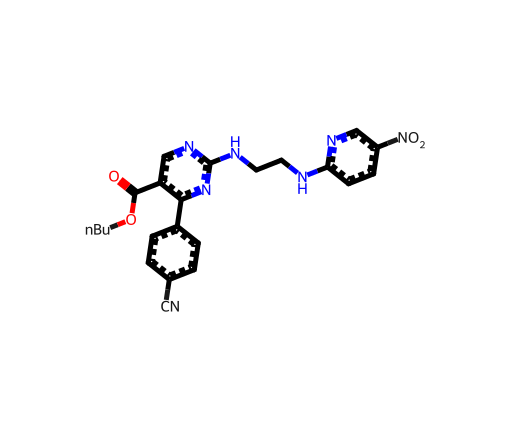 CCCCOC(=O)c1cnc(NCCNc2ccc([N+](=O)[O-])cn2)nc1-c1ccc(C#N)cc1